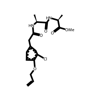 C=CCOc1ccc(CC(=O)N[C@@H](C)C(=O)N[C@@H](C)C(=O)OC)cc1Cl